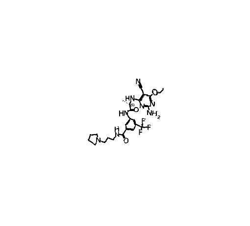 CCOc1nc(N)nc(N[C@@H](C)C(=O)Nc2cc(C(=O)NCCCN3CCCC3)cc(C(F)(F)F)c2)c1C#N